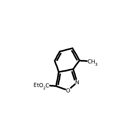 CCOC(=O)c1onc2c(C)cccc12